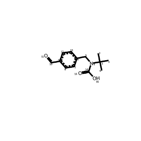 CC(C)(C)N(Cc1ccc(C=O)cc1)C(=O)O